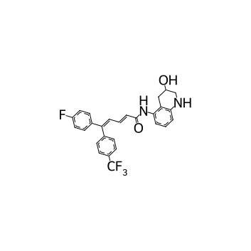 O=C(C=CC=C(c1ccc(F)cc1)c1ccc(C(F)(F)F)cc1)Nc1cccc2c1CC(O)CN2